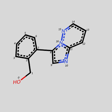 OCc1ccccc1-c1cnc2cccnn12